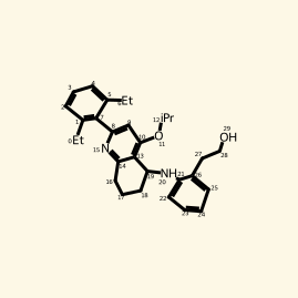 CCc1cccc(CC)c1-c1cc(OC(C)C)c2c(n1)CCCC2Nc1ccccc1CCO